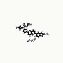 COCOc1cc2nn(C)cc2cc1-c1ccc2nc(N3CCC(N(C(=O)OC(C)(C)C)C4CC(F)C4)C3)ccc2n1